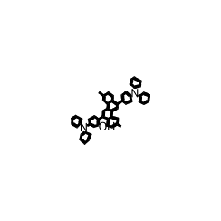 Cc1ccc2c(-c3ccc(N(c4ccccc4)c4ccccc4)cc3)cc3c4cc(C)ccc4c(-c4ccc(N(c5ccccc5)c5ccccc5)cc4O)cc3c2c1